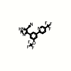 N#Cc1[nH]nnc1-c1cc(OC(F)(F)F)cc(-c2ccc(C(F)(F)F)cn2)c1